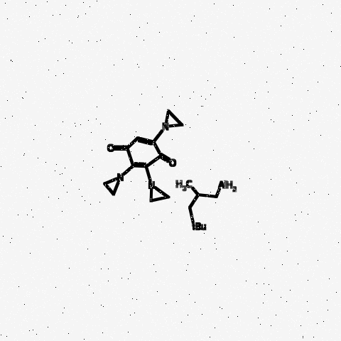 CC([CH2][AlH2])CC(C)(C)C.O=C1C=C(N2CC2)C(=O)C(N2CC2)=C1N1CC1